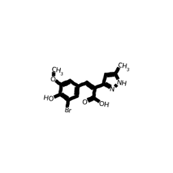 COc1cc(C=C(C(=O)O)c2cc(C)[nH]n2)cc(Br)c1O